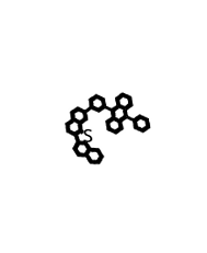 c1ccc(-c2c3ccccc3c(-c3cccc(-c4ccc5ccc6c7ccc8ccccc8c7sc6c5c4)c3)c3ccccc23)cc1